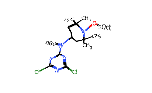 CCCCCCCCON1C(C)(C)CC(N(CCCC)c2nc(Cl)nc(Cl)n2)CC1(C)C